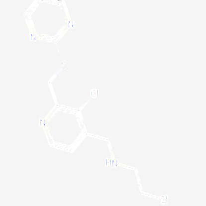 ClCCNCc1ccnc(CSc2ncccn2)c1Cl